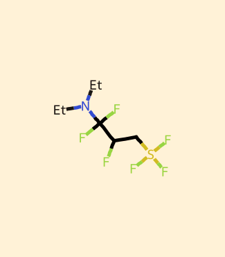 CCN(CC)C(F)(F)C(F)CS(F)(F)F